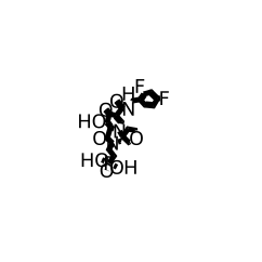 O=C(NCc1ccc(F)cc1F)c1cn2c(c(O)c1=O)C(=O)N(CCP(=O)(O)O)C[C@]21CCOC1